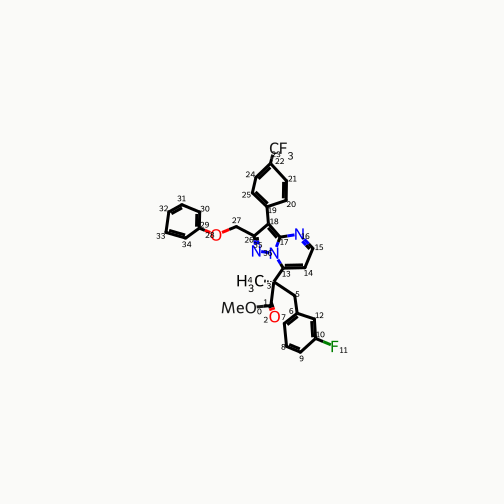 COC(=O)[C@](C)(Cc1cccc(F)c1)c1ccnc2c(-c3ccc(C(F)(F)F)cc3)c(COc3ccccc3)nn12